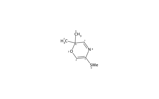 CSC1=COC(C)(C)C=N1